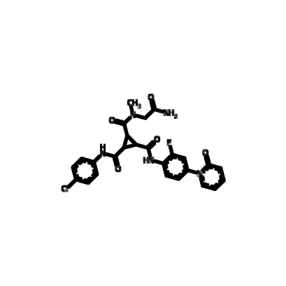 CN(CC(N)=O)C(=O)C1C(C(=O)Nc2ccc(Cl)cc2)C1C(=O)Nc1ccc(-n2ccccc2=O)cc1F